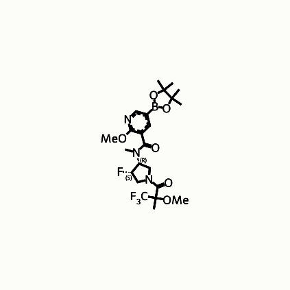 COc1ncc(B2OC(C)(C)C(C)(C)O2)cc1C(=O)N(C)[C@@H]1CN(C(=O)C(C)(OC)C(F)(F)F)C[C@@H]1F